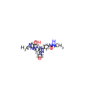 CCNC(=O)Nc1ccc(-c2nc3c(c(N4CCOCC4)n2)CCN(c2ccnc(C)n2)C3CCO)cc1